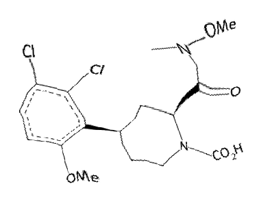 COc1ccc(Cl)c(Cl)c1[C@@H]1CCN(C(=O)O)[C@H](C(=O)N(C)OC)C1